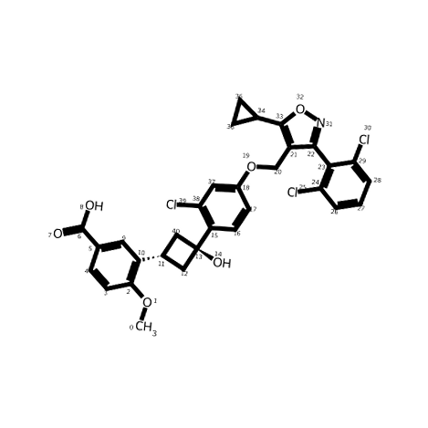 COc1ccc(C(=O)O)cc1[C@H]1C[C@@](O)(c2ccc(OCc3c(-c4c(Cl)cccc4Cl)noc3C3CC3)cc2Cl)C1